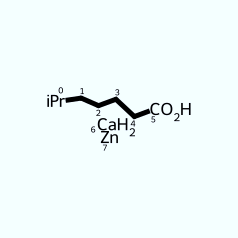 CC(C)CCCCC(=O)O.[CaH2].[Zn]